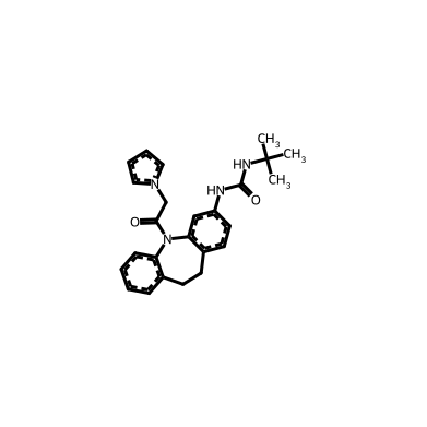 CC(C)(C)NC(=O)Nc1ccc2c(c1)N(C(=O)Cn1cccc1)c1ccccc1CC2